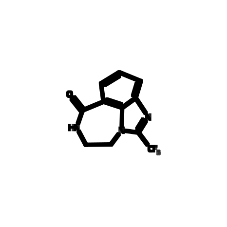 O=C1NCCn2c(C(F)(F)F)nc3cccc1c32